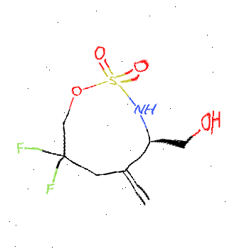 C=C1CC(F)(F)COS(=O)(=O)N[C@H]1CO